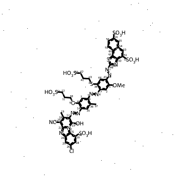 COc1cc(N=Nc2cc(OCCCS(=O)(=O)O)c(N=Nc3c(C)c(C#N)c4nc5cc(Cl)cc(S(=O)(=O)O)c5n4c3O)cc2C)c(SCCCS(=O)(=O)O)cc1N=Nc1nc2c(S(=O)(=O)O)cc3cc(S(=O)(=O)O)ccc3c2s1